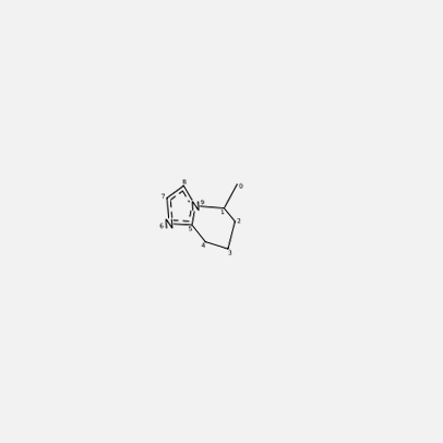 CC1CCCc2nccn21